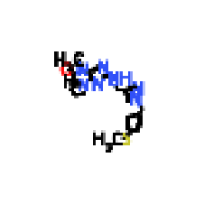 CSc1ccc(Cn2cc(CNc3ncc4c(n3)N3CCC[C@H]3C(=O)N4C)cn2)cc1